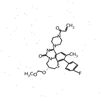 C=CC(=O)N1CCN(c2nc(=O)n3c4c(c(-c5ccc(F)cc5)c(C)cc24)SC[C@H](OCOC)C3)CC1